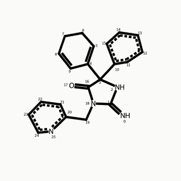 N=C1NC(C2=CCCC=C2)(c2ccccc2)C(=O)N1Cc1ccccn1